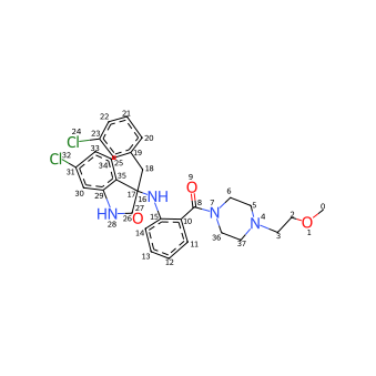 COCCN1CCN(C(=O)c2ccccc2NC2(Cc3cccc(Cl)c3)C(=O)Nc3cc(Cl)ccc32)CC1